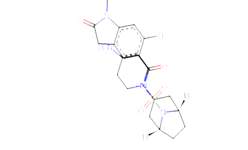 CN1C(=O)Cc2cc(C(=O)NC3C[C@H]4CC[C@@H](C3)N4S(=O)(=O)N3CCC(N)CC3)c(Cl)cc21